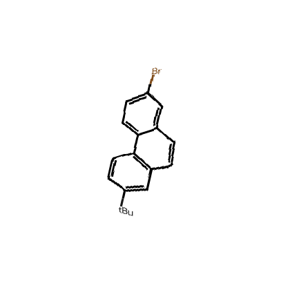 CC(C)(C)c1ccc2c(ccc3cc(Br)ccc32)c1